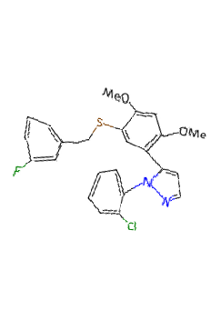 COc1cc(OC)c(-c2ccnn2-c2ccccc2Cl)cc1SCc1cccc(F)c1